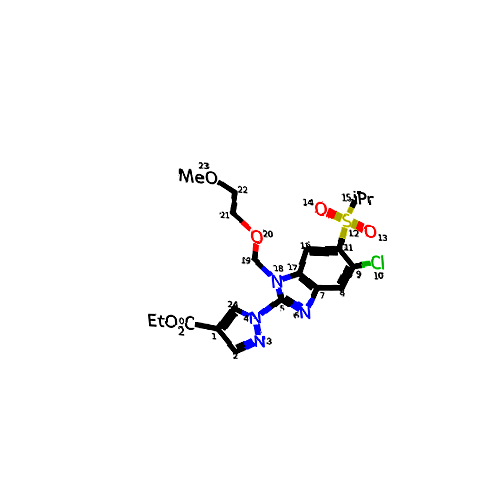 CCOC(=O)c1cnn(-c2nc3cc(Cl)c(S(=O)(=O)C(C)C)cc3n2COCCOC)c1